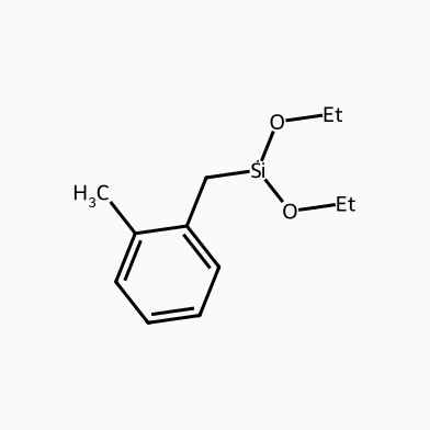 CCO[Si](Cc1ccccc1C)OCC